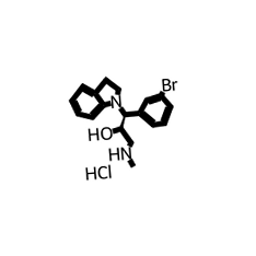 CNCC(O)[C@H](c1cccc(Br)c1)N1CCc2ccccc21.Cl